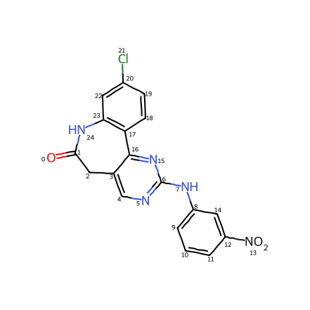 O=C1Cc2cnc(Nc3cccc([N+](=O)[O-])c3)nc2-c2ccc(Cl)cc2N1